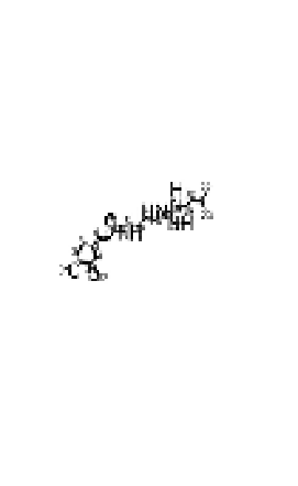 COc1ccc(C=CC(=O)NCCCCNC(=N)NCC=C(C)C)cc1OC